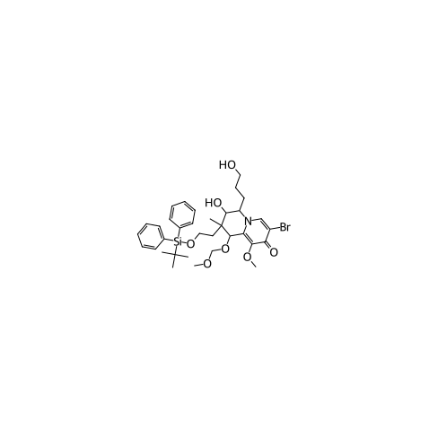 COCOC1c2c(OC)c(=O)c(Br)cn2C(CCCO)C(O)C1(C)CCO[Si](c1ccccc1)(c1ccccc1)C(C)(C)C